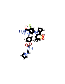 CC1(C)Cc2c(c3c(n2-c2cc(F)c(C(N)=O)c(N[C@H]4CC[C@H](OC(=O)NCCN5CCCC5)CC4)c2)CCC3)S(=O)(=O)C1